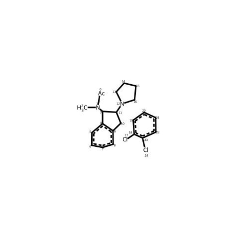 CC(=O)N(C)C1c2ccccc2CC1N1CCCC1.Clc1ccccc1Cl